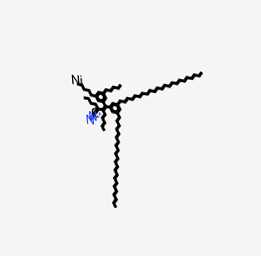 CCCCCCCCCCCCCCCCCCCCCCCc1cc(CCCCCCCCCCCCCCCCCCCCCCC)cc(C(=C(CCCCC)C(=C=[N+]=[N-])CCCC)c2cc(CCCCC)cc(CCCCC)c2)c1.[Ni]